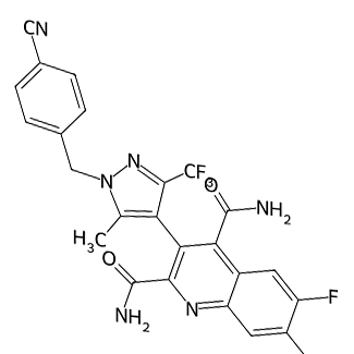 Cc1c(-c2c(C(N)=O)nc3cc(F)c(F)cc3c2C(N)=O)c(C(F)(F)F)nn1Cc1ccc(C#N)cc1